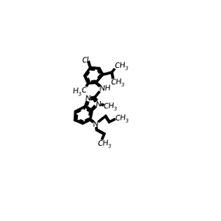 CCCN(CCC)c1cccc2nc(Nc3c(C)cc(Cl)cc3C(C)C)n(C)c12